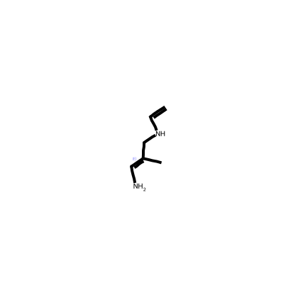 C=CNC/C(C)=C/N